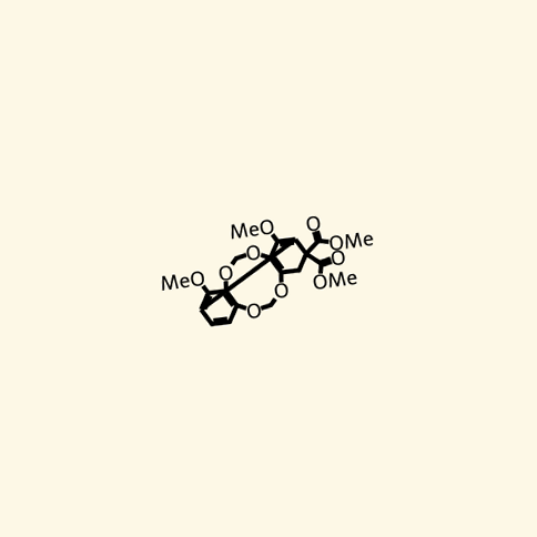 COC(=O)C1(C(=O)OC)CC2=C3OCOc4c(ccc(c4OC)C1=C3OC)OCO2